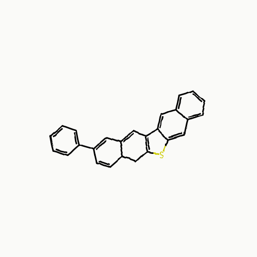 C1=CC2Cc3sc4cc5ccccc5cc4c3C=C2C=C1c1ccccc1